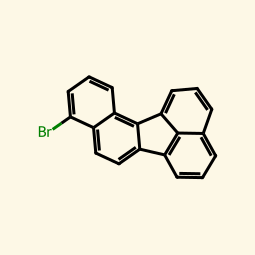 Brc1cccc2c3c(ccc12)-c1cccc2cccc-3c12